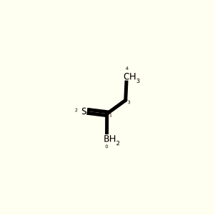 BC(=S)CC